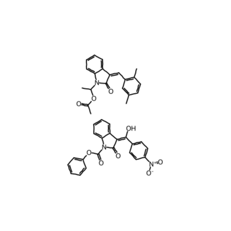 CC(=O)OC(C)N1C(=O)C(=Cc2cc(C)ccc2C)c2ccccc21.O=C(Oc1ccccc1)N1C(=O)C(=C(O)c2ccc([N+](=O)[O-])cc2)c2ccccc21